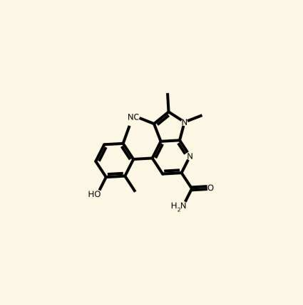 Cc1ccc(O)c(C)c1-c1cc(C(N)=O)nc2c1c(C#N)c(C)n2C